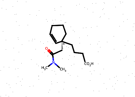 CN(C)C(=O)C[C@]1(CCCC(=O)O)C=CCCC1